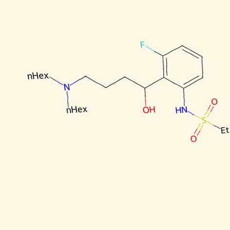 CCCCCCN(CCCCCC)CCCC(O)c1c(F)cccc1NS(=O)(=O)CC